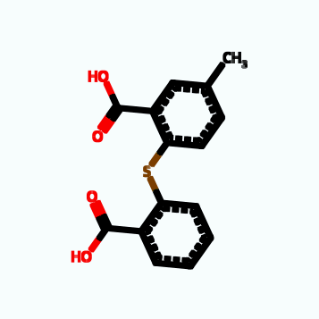 Cc1ccc(Sc2ccccc2C(=O)O)c(C(=O)O)c1